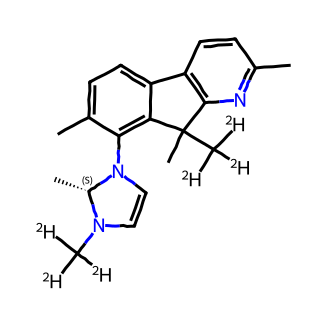 [2H]C([2H])([2H])N1C=CN(c2c(C)ccc3c2C(C)(C([2H])([2H])[2H])c2nc(C)ccc2-3)[C@H]1C